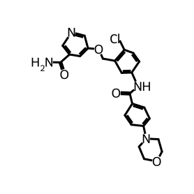 NC(=O)c1cncc(OCc2cc(NC(=O)c3ccc(N4CCOCC4)cc3)ccc2Cl)c1